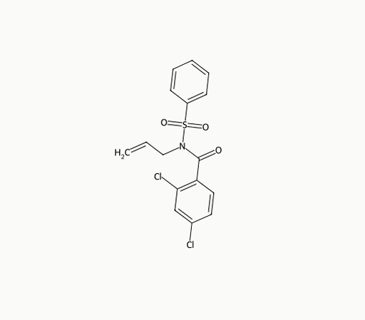 C=CCN(C(=O)c1ccc(Cl)cc1Cl)S(=O)(=O)c1ccccc1